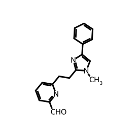 Cn1cc(-c2ccccc2)nc1CCc1cccc(C=O)n1